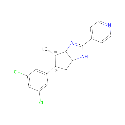 C[C@@H]1C2N=C(c3ccncc3)NC2C[C@@H]1c1cc(Cl)cc(Cl)c1